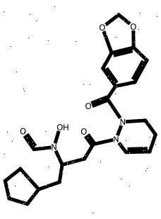 O=CN(O)C(CC(=O)N1C=CCCN1C(=O)c1ccc2c(c1)OCO2)CC1CCCC1